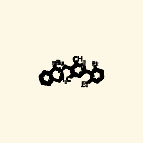 CCCCC1c2ccccc2CCN1Cc1c(C)cc(-c2c(CC)cccc2CC)nc1C